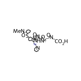 CNC(=O)c1ccccc1Sc1ccc2c(/C=C/c3ccccn3)nn(C(=O)N(C)[C@@H](C)C(=O)N[C@@H](C)CCC(=O)N(C)CCC(=O)O)c2c1